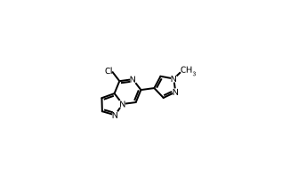 Cn1cc(-c2cn3nccc3c(Cl)n2)cn1